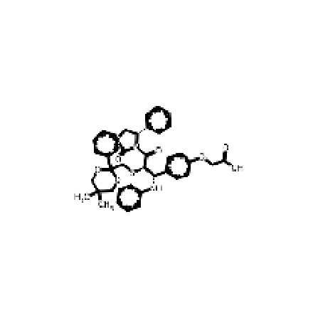 CC1(C)COC(CS[C@@H](C(=O)N2C(=O)OC[C@@H]2c2ccccc2)[C@@H](Nc2ccccc2)c2ccc(OCC(=O)O)cc2)(c2ccccc2)OC1